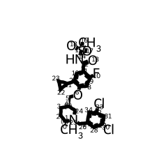 C[C@@H]1CC[C@@H](COc2cc(F)c(C(=O)NS(C)(=O)=O)cc2C2CC2)CN1Cc1cc(Cl)cc(Cl)c1